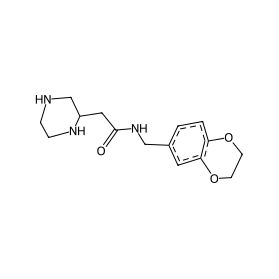 O=C(CC1CNCCN1)NCc1ccc2c(c1)OCCO2